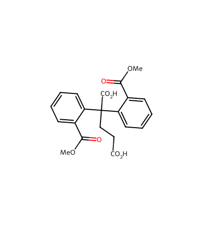 COC(=O)c1ccccc1C(CCC(=O)O)(C(=O)O)c1ccccc1C(=O)OC